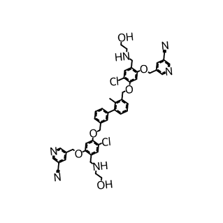 Cc1c(COc2cc(OCc3cncc(C#N)c3)c(CNCCO)cc2Cl)cccc1-c1cccc(COc2cc(OCc3cncc(C#N)c3)c(CNCCO)cc2Cl)c1